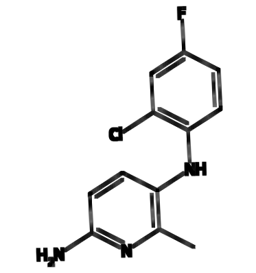 Cc1nc(N)ccc1Nc1ccc(F)cc1Cl